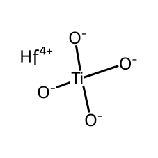 [Hf+4].[O-][Ti]([O-])([O-])[O-]